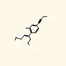 CCC#Cc1ccc(/C(=C/CC(C)C)CCC)c(F)c1